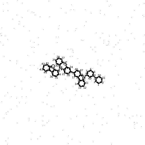 c1ccc(-c2cccc(-n3c4ccccc4c4cc(-c5ccc6c(c5)Sc5ccccc5N6c5cccc6c5oc5ccccc56)ccc43)c2)cc1